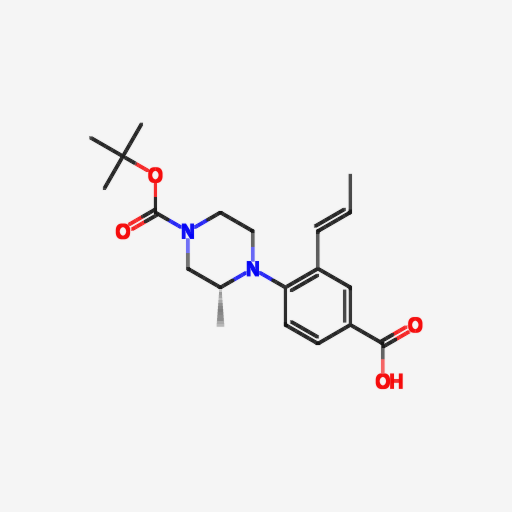 CC=Cc1cc(C(=O)O)ccc1N1CCN(C(=O)OC(C)(C)C)C[C@H]1C